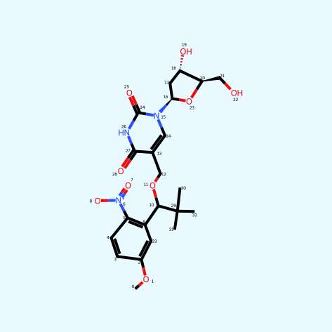 COc1ccc([N+](=O)[O-])c(C(OCc2cn([C@H]3C[C@H](O)[C@@H](CO)O3)c(=O)[nH]c2=O)C(C)(C)C)c1